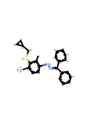 Cc1c(NN=C(c2ccccc2)c2ccccc2)ccc(C(F)(F)F)c1SCC1CC1